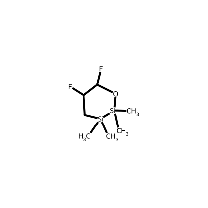 C[Si]1(C)CC(F)C(F)O[Si]1(C)C